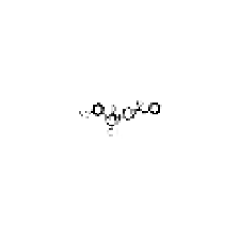 CC1CN(c2cccc(C#N)c2)C(=O)N(C2CCN(C(=O)Cc3ccccc3)CC2)C1